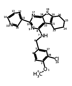 COc1ccc(CNc2nc(-c3cccnc3)nc3sc4c(c23)CCCC4)cc1Cl